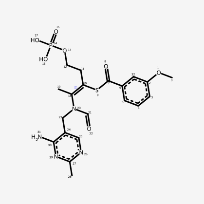 COc1cccc(C(=O)S/C(CCOP(=O)(O)O)=C(/C)N(C=O)Cc2cnc(C)nc2N)c1